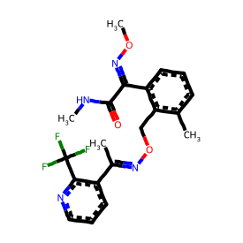 CNC(=O)/C(=N/OC)c1cccc(C)c1CO/N=C(\C)c1cccnc1C(F)(F)F